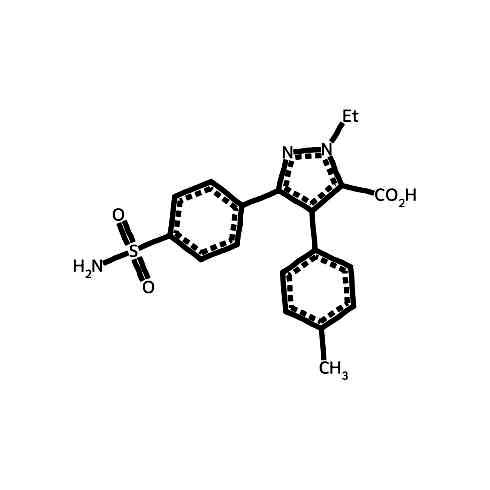 CCn1nc(-c2ccc(S(N)(=O)=O)cc2)c(-c2ccc(C)cc2)c1C(=O)O